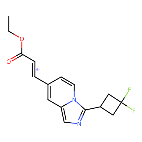 CCOC(=O)/C=C/c1ccn2c(C3CC(F)(F)C3)ncc2c1